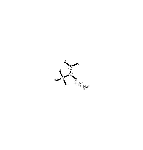 CN([SiH](C)C)[Si](C)(C)C.[NH2-].[Na+]